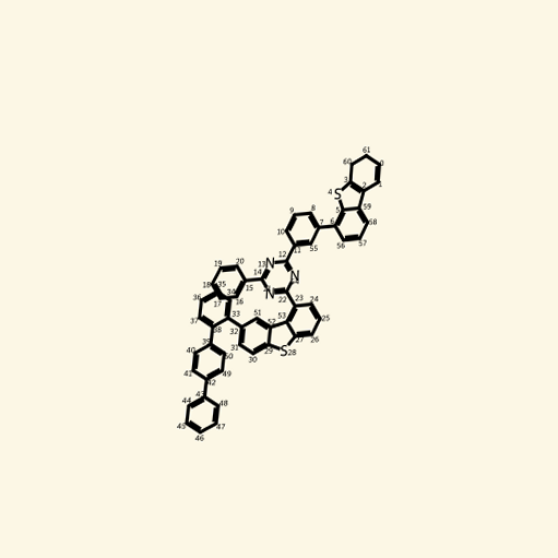 C1=Cc2c(sc3c(-c4cccc(-c5nc(-c6ccccc6)nc(-c6cccc7sc8ccc(-c9ccccc9-c9ccc(-c%10ccccc%10)cc9)cc8c67)n5)c4)cccc23)CC1